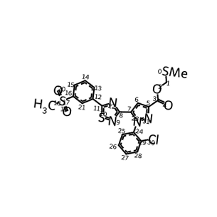 CSCOC(=O)c1cc(-c2nsc(-c3cccc(S(C)(=O)=O)c3)n2)n(-c2ccccc2Cl)n1